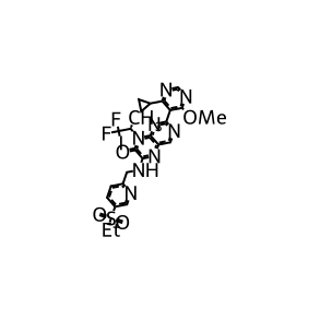 CCS(=O)(=O)c1ccc(CNc2nc3cnc(-c4c(OC)ncnc4C4CC4)nc3n([C@H](C)C(F)(F)I)c2=O)nc1